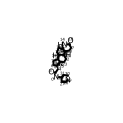 CN(C(=O)C[C@H]1CC[C@H]2[C@@H]3CC[C@H]4N(C)C(=O)CC[C@]4(C)[C@H]3CC[C@]12C)c1ccncc1